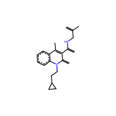 C=C(C)CNC(=C)C1=C(C)c2ccccc2N(CCC2CC2)C1=C